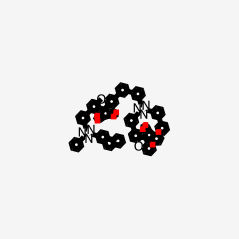 c1ccc(-c2cccc(-c3nc(-c4cccc(-c5cccc(-c6ccc7c(c6)Oc6ccc(-c8cccc(-c9nc(-c%10ccccc%10)nc(-c%10ccc%11c(ccc%12ccccc%12%11)c%10)n9)c8)cc6C76c7ccccc7-c7ccccc76)c5)c4)nc(-c4cccc(-c5ccc6c(c5)C5(c7ccccc7O6)c6ccccc6-c6ccccc65)c4)n3)c2)cc1